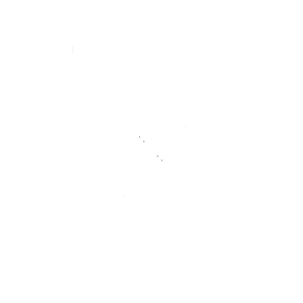 C=CCOc1nn(Cc2ccc(F)cc2)c2ccccc12